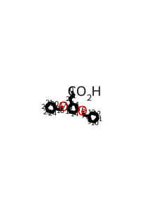 O=C(O)C=Cc1cc(OCc2ccccc2)ccc1OCc1ccccc1